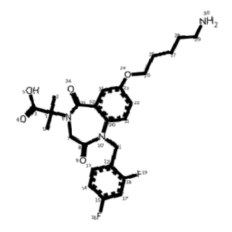 CC(C)(C(=O)O)N1CC(=O)N(Cc2ccc(F)cc2F)c2ccc(OCCCCCN)cc2C1=O